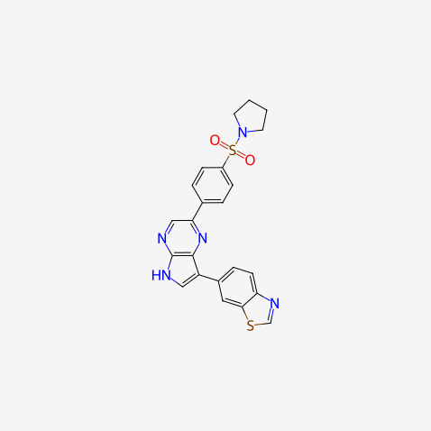 O=S(=O)(c1ccc(-c2cnc3[nH]cc(-c4ccc5ncsc5c4)c3n2)cc1)N1CCCC1